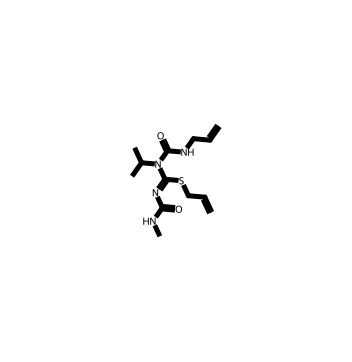 C=CCNC(=O)N(C(=NC(=O)NC)SCC=C)C(C)C